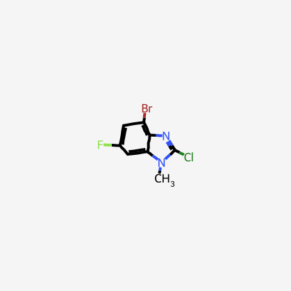 Cn1c(Cl)nc2c(Br)cc(F)cc21